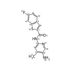 Cc1cc(NC(=O)c2cc3ccc(F)cc3s2)ncc1N